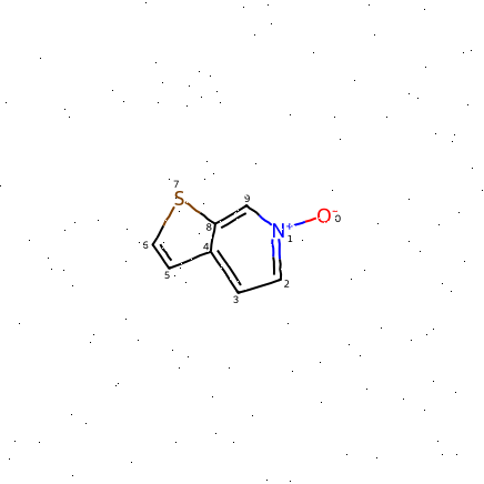 [O-][n+]1ccc2ccsc2c1